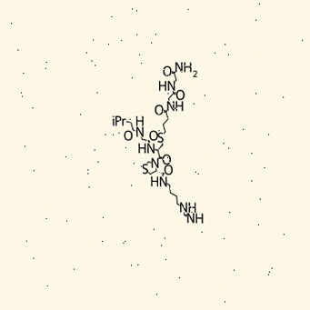 CC(C)CC(=O)NCC(=O)N[C@@H](CSCCCC(=O)NCC(=O)NCC(N)=O)C(=O)N1CSC[C@H]1C(=O)NCCCCNC=N